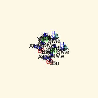 COc1cc(-c2nccc(-c3cccc(-c4ccc(CN(C(=O)OC(C)(C)C)C5CCN(C(C)=O)CC5)c(OC)n4)c3Cl)c2Cl)ccc1CNCC(F)F.COc1cc(-c2nccc(-c3cccc(-c4ccc(CN(C(=O)OC(C)(C)C)C5CCN(C(C)=O)CC5)c(OC)n4)c3Cl)c2Cl)ccc1CNCC(F)F